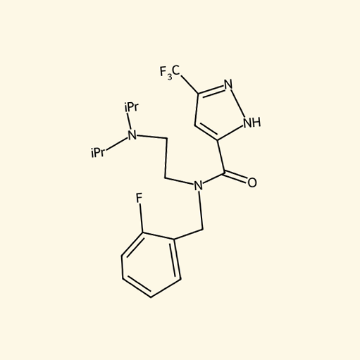 CC(C)N(CCN(Cc1ccccc1F)C(=O)c1cc(C(F)(F)F)n[nH]1)C(C)C